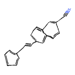 N#Cc1ccc2cc(/C=C/c3ccccc3)ccc2c1